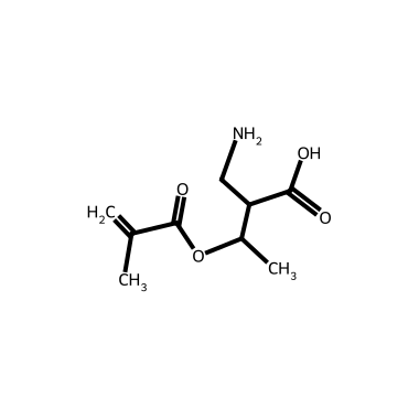 C=C(C)C(=O)OC(C)C(CN)C(=O)O